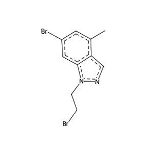 Cc1cc(Br)cc2c1cnn2CCBr